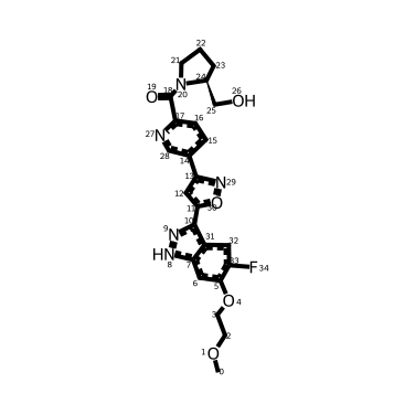 COCCOc1cc2[nH]nc(-c3cc(-c4ccc(C(=O)N5CCC[C@H]5CO)nc4)no3)c2cc1F